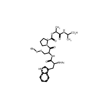 CC(=O)NC(Cc1c[nH]c2ccccc12)C(=O)NC(CSSC(C)(C)C)C(=O)N1CCC[C@H]1C(=O)OC(C)C(=O)NC(C)C(=O)O